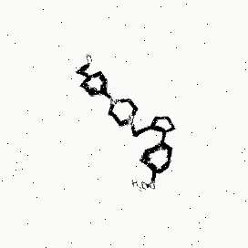 COc1ccc(C2=C(CN3CCN(c4ccc(C=O)cc4)CC3)CCC2)cc1